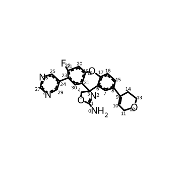 NC1=NC2(CO1)c1cc(C3=CCOCC3)ccc1Oc1cc(F)c(-c3cncnc3)cc12